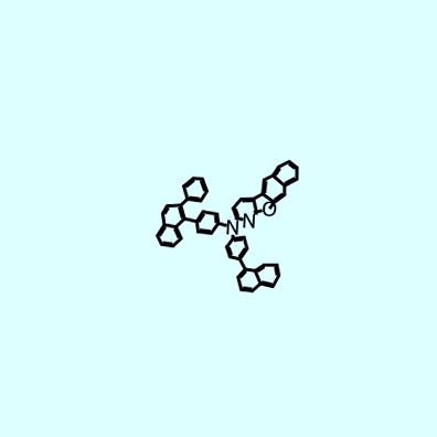 c1ccc(-c2ccc3ccccc3c2-c2ccc(N(c3ccc(-c4cccc5ccccc45)cc3)c3ccc4c(n3)oc3cc5ccccc5cc34)cc2)cc1